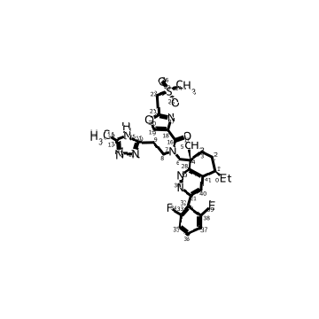 CC[C@@H]1CC[C@@](C)(CN(CCc2nnc(C)[nH]2)C(=O)c2coc(CS(C)(=O)=O)n2)c2nnc(-c3c(F)cccc3F)cc21